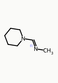 C/N=C/N1CCCCC1